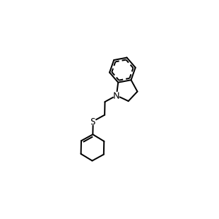 C1=C(SCCN2CCc3ccccc32)CCCC1